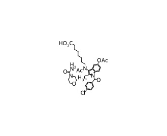 CC(=O)Oc1ccc2c(c1)c(N(CCCCCCCC(=O)O)C(C)=O)c(C)n2C(=O)c1ccc(Cl)cc1.NC(=O)N1CCOCC1